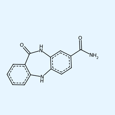 NC(=O)c1ccc2c(c1)NC(=O)c1ccccc1N2